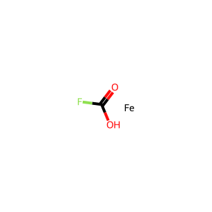 O=C(O)F.[Fe]